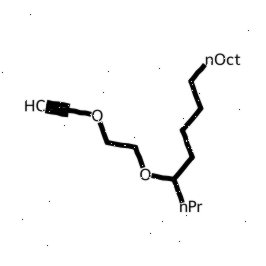 C#COCCOC(CCC)CCCCCCCCCCCC